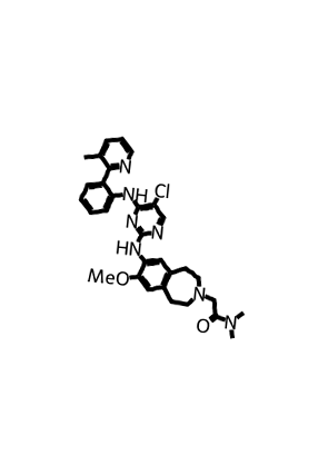 COc1cc2c(cc1Nc1ncc(Cl)c(Nc3ccccc3-c3ncccc3C)n1)CCN(CC(=O)N(C)C)CC2